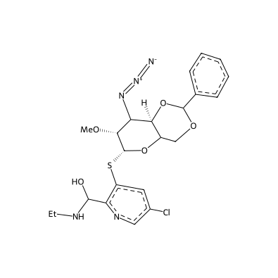 CCNC(O)c1ncc(Cl)cc1S[C@H]1OC2COC(c3ccccc3)O[C@@H]2C(N=[N+]=[N-])[C@H]1OC